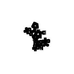 CN(C[C@H]1O[C@@H](n2ncc3c(N(C(=O)OC(C)(C)C)C4CCCC4)nc(Cl)nc32)[C@@H]2OC(C)(C)O[C@@H]21)S(C)(=O)=O